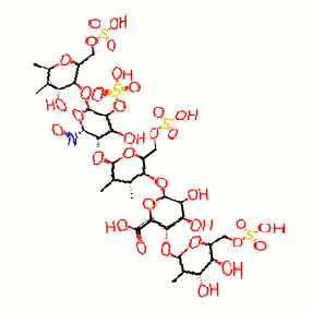 CC1[C@@H](O[C@H]2C(O)C(OS(=O)(=O)O)[C@H](O[C@@H]3C(COS(=O)(=O)O)O[C@H](C)C(C)[C@H]3O)O[C@H]2N=O)OC(COS(=O)(=O)O)[C@@H](O[C@@H]2OC(C(=O)O)[C@@H](O[C@H]3OC(COS(=O)(=O)O)[C@@H](O)[C@H](O)C3C)[C@H](O)C2O)[C@@H]1C